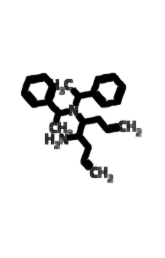 C=CCC(N)C(CC=C)N(C(C)c1ccccc1)C(C)c1ccccc1